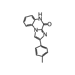 Cc1ccc(-c2cn3c(n2)c(=O)[nH]c2ccccc23)cc1